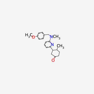 COc1ccc(CN(C)c2cccc(C3CC(=O)CCC3C)n2)cc1